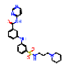 O=C(Nc1ccncn1)c1cccc(Nc2cccc(S(=O)(=O)NCCCN3CCCCC3)c2)c1